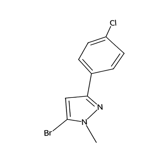 Cn1nc(-c2ccc(Cl)cc2)cc1Br